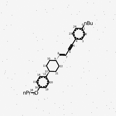 CCCCc1ccc(C#C/C=C/[C@H]2CC[C@H](c3ccc(OCCC)cc3)CC2)cc1